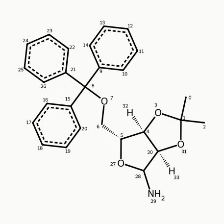 CC1(C)O[C@@H]2[C@@H](COC(c3ccccc3)(c3ccccc3)c3ccccc3)OC(N)[C@@H]2O1